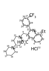 CCc1cccc2c(C(=O)O)c(CN3CCC(N4CCCCC4)CC3)c(-c3cccc(C(F)(F)F)c3)nc12.Cl